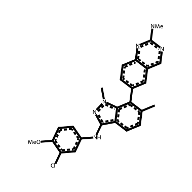 CNc1ncc2cc(-c3c(C)ccc4c(Nc5ccc(OC)c(Cl)c5)nn(C)c34)ccc2n1